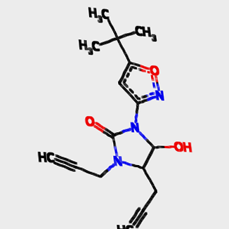 C#CCC1C(O)N(c2cc(C(C)(C)C)on2)C(=O)N1CC#C